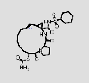 NC(=O)OC1CCCCC/C=C/C2CC2(C(=O)NS(=O)(=O)C2CCCCC2)NC(=O)C2CCCN2C1=O